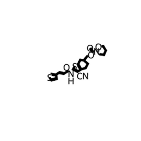 N#Cc1c(NC(=O)C=Cc2ccsc2)sc2c1CCC(COC(=O)N1CCCCO1)C2